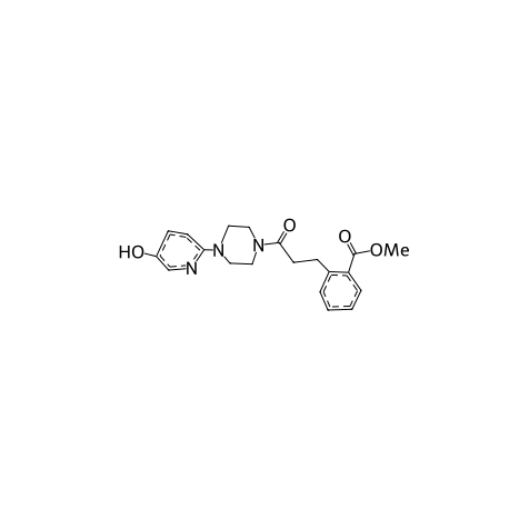 COC(=O)c1ccccc1CCC(=O)N1CCN(c2ccc(O)cn2)CC1